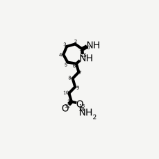 N=C1CCCCC(CCCCC(=O)ON)N1